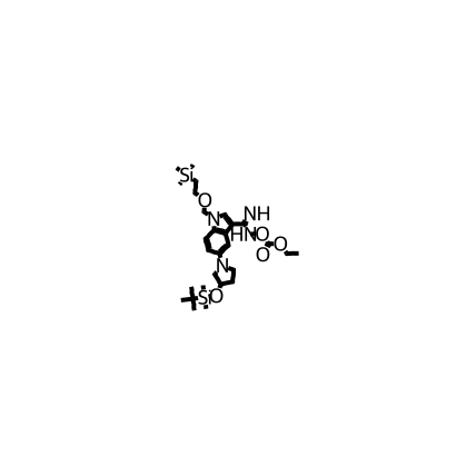 CCOC(=O)ONC(=N)c1cn(COCC[Si](C)(C)C)c2ccc(N3CCC(O[Si](C)(C)C(C)(C)C)C3)cc12